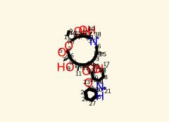 CC[C@H]1OC(=O)[C@H](C)[C@@H](O)[C@H](C)[C@@H](O[C@@H]2O[C@H](C)C[C@H](NC)[C@H]2Oc2ccccc2)[C@](C)(O)C[C@@H](C)CN(C)[C@H](C)[C@@H](O)[C@]1(C)O